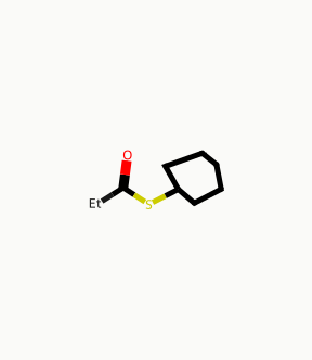 CCC(=O)SC1C[CH]CCC1